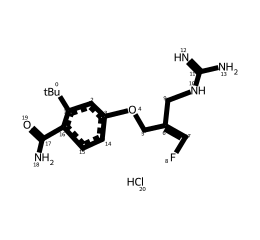 CC(C)(C)c1cc(OC/C(=C\F)CNC(=N)N)ccc1C(N)=O.Cl